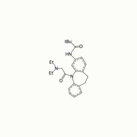 CCN(CC)CC(=O)N1c2ccccc2CCc2ccc(NC(=O)C(C)(C)C)cc21